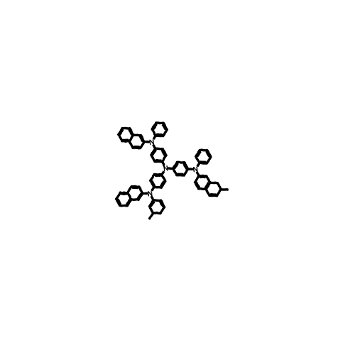 CC1C=C(N(c2ccc(N(c3ccc(N(c4ccccc4)c4ccc5c(c4)CC(C)C=C5)cc3)c3ccc(N(c4ccccc4)c4ccc5ccccc5c4)cc3)cc2)c2ccc3ccccc3c2)C=CC1